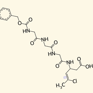 C/C(Cl)=C/C(CC(=O)O)NC(=O)CNC(=O)CNC(=O)CNC(=O)OCc1ccccc1